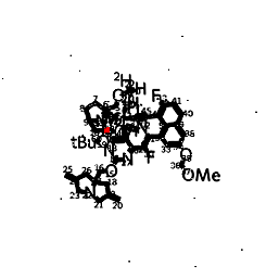 [2H]C([2H])([2H])OCC12CCC(CN(c3nc(OCC45CC(=C)CN4CC(=C)C5)nc4c(F)c(-c5cc(OCOC)cc6ccc(F)c(C#C[Si](C(C)C)(C(C)C)C(C)C)c56)ncc34)C1)N2C(=O)OC(C)(C)C